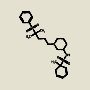 CC1(S(=O)(=O)NC2CCCN(CCCC(C)(C)S(=O)(=O)c3ccccc3)C2)C=CC=CC1